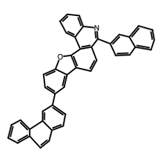 c1ccc2cc(-c3nc4ccccc4c4c3ccc3c5cc(-c6ccc7ccc8ccccc8c7c6)ccc5oc34)ccc2c1